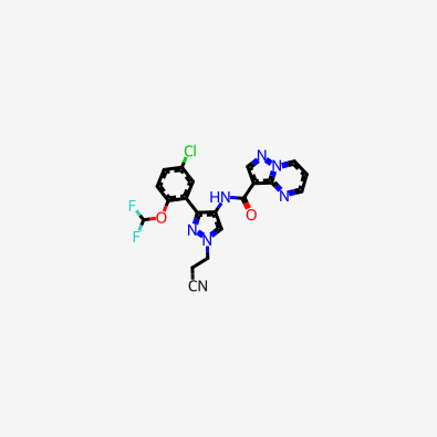 N#CCCn1cc(NC(=O)c2cnn3cccnc23)c(-c2cc(Cl)ccc2OC(F)F)n1